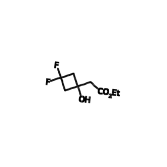 CCOC(=O)CC1(O)CC(F)(F)C1